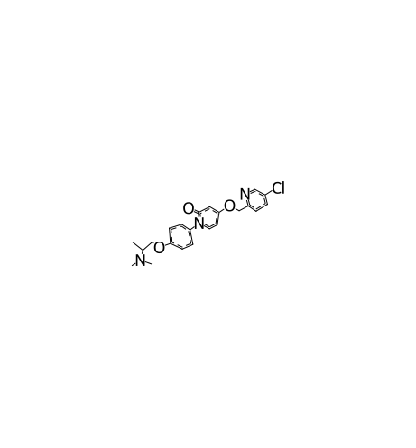 CC(COc1ccc(-n2ccc(OCc3ccc(Cl)cn3)cc2=O)cc1)N(C)C